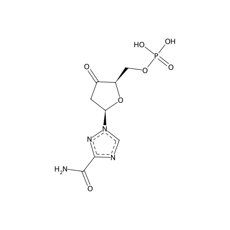 NC(=O)c1ncn([C@H]2CC(=O)[C@@H](COP(=O)(O)O)O2)n1